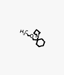 CCOCC1(N2CCC2)CCCCC1